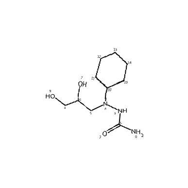 NC(=O)NN(CC(O)CO)C1CCCCC1